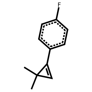 CC1(C)C=C1c1ccc(F)cc1